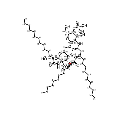 CCCCCCCCCCCC(=O)O[C@H](CCCCCCCCCCC)CC(=O)N[C@H]1[C@H](OC[C@H]2O[C@H](O)[C@@](NC(=O)C[C@H](O)CCCCCCCCCCC)(C(C)O)[C@@H](O)[C@@H]2O)O[C@H](CO)[C@@H](OP(=O)(O)O)[C@@H]1O